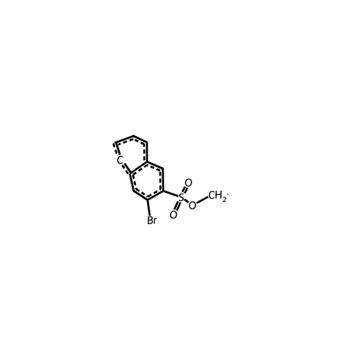 [CH2]OS(=O)(=O)c1cc2ccccc2cc1Br